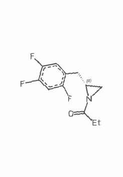 CCC(=O)N1C[C@H]1Cc1cc(F)c(F)cc1F